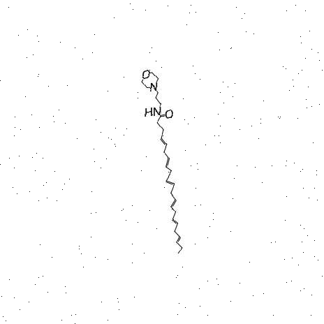 CCC=CCC=CCC=CCC=CCC=CCC=CCCC(=O)NCCCN1CCOCC1